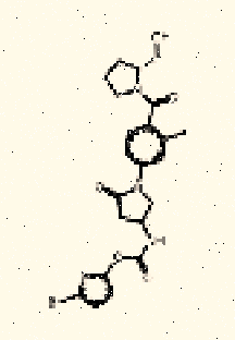 Cc1cc(N2CC(NC(=O)Oc3ccc(Br)s3)CC2=O)ccc1C(=O)N1CCC[C@@H]1CO